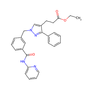 CCOC(=O)CCc1cn(Cc2cccc(C(=O)Nc3ccccn3)c2)nc1-c1ccccc1